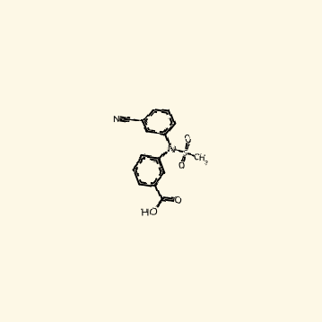 CS(=O)(=O)N(c1cccc(C#N)c1)c1cccc(C(=O)O)c1